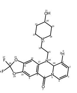 [2H]C1=CC=CN2C(=O)c3cc4c(cc3N(CCN3CCC(O)CC3)C12)OC(F)(F)O4